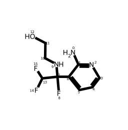 Nc1ncccc1C(F)(NCCO)C(F)F